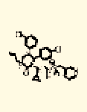 C=CC[C@@]1(C)C[C@H](c2cccc(Cl)c2)C(c2ccc(Cl)cc2)N([C@H](CNS(=O)(=O)Cc2cccnc2)C2CC2)C1=O